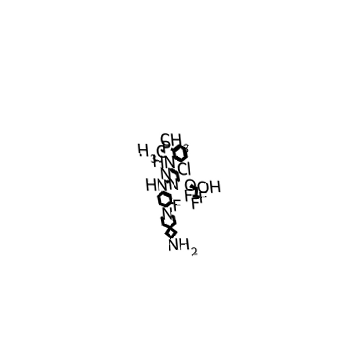 CP(C)c1ccccc1Nc1nc(Nc2ccc(N3CCC4(CC3)CC(N)C4)c(F)c2)ncc1Cl.O=C(O)C(F)(F)F